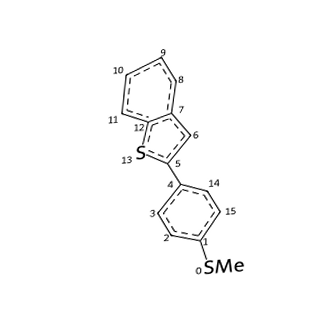 CSc1ccc(-c2cc3ccccc3s2)cc1